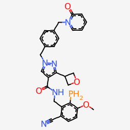 COc1ccc(C#N)c(CNC(=O)c2cn(Cc3ccc(Cn4ccccc4=O)cc3)nc2C2COC2)c1P